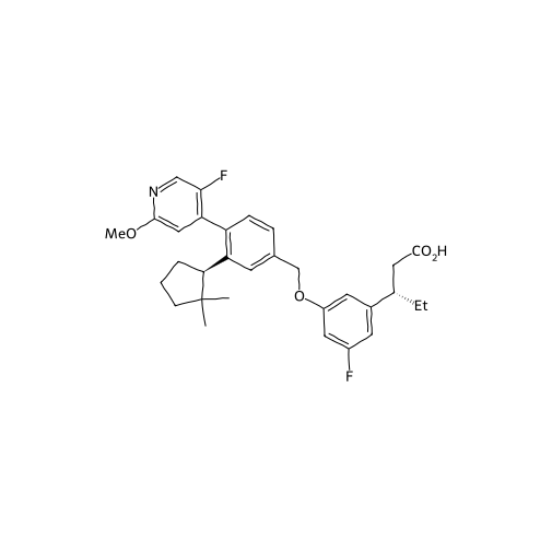 CC[C@@H](CC(=O)O)c1cc(F)cc(OCc2ccc(-c3cc(OC)ncc3F)c([C@@H]3CCCC3(C)C)c2)c1